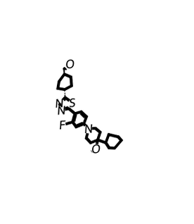 COC1(C2CCCCC2)CCN(c2ccc(-c3nnc([C@H]4CC[C@H](C=O)CC4)s3)c(F)c2)CC1